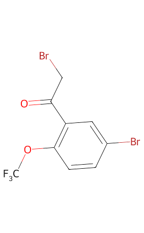 O=C(CBr)c1cc(Br)ccc1OC(F)(F)F